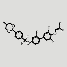 CC1COC(c2ccc(C(F)(F)Oc3ccc(-c4cc(F)c(OC=C(F)F)c(F)c4)c(F)c3)cc2)OC1